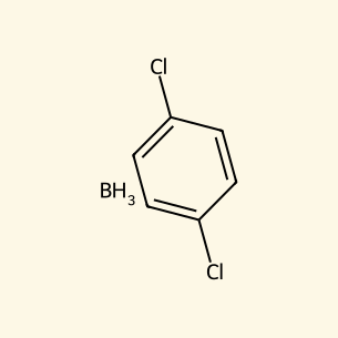 B.Clc1ccc(Cl)cc1